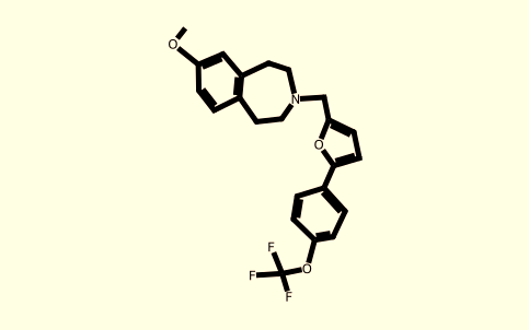 COc1ccc2c(c1)CCN(Cc1ccc(-c3ccc(OC(F)(F)F)cc3)o1)CC2